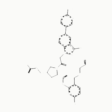 C=CCOCc1ccc(Br)nc1NC(=O)[C@@H]1C[C@H](CNC(=O)C(C)(C)C)CN1C(=O)Cn1nc(C(C)=O)c2cc(-c3cnc(C)nc3)ncc21